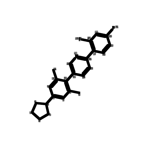 Cc1cc(C2CCCC2)cc(C)c1-c1ccc(-c2ccc(F)cc2F)nc1